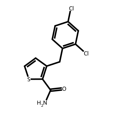 NC(=O)c1sccc1Cc1ccc(Cl)cc1Cl